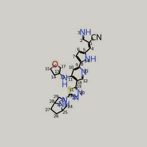 N#C/C(C=N)=C/c1ccc(-c2cc(N[C@H]3CCOC3)c(-c3nnc(N4CC5CCC(C4)N5)s3)cn2)[nH]1